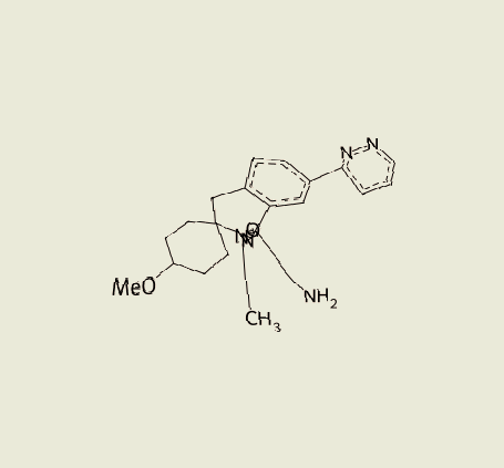 COC1CCC2(CC1)Cc1ccc(-c3cccnn3)cc1C21N=C(N)N(C)O1